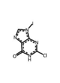 O=c1[nH]c(Cl)nc2c1ncn2I